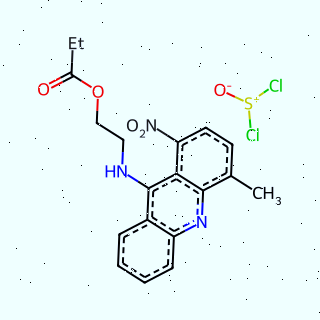 CCC(=O)OCCNc1c2ccccc2nc2c(C)ccc([N+](=O)[O-])c12.[O-][S+](Cl)Cl